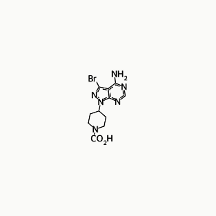 Nc1ncnc2c1c(Br)nn2C1CCN(C(=O)O)CC1